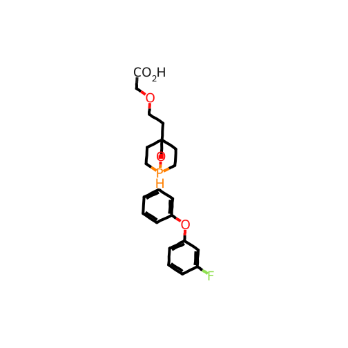 O=C(O)COCCC12CC[PH](c3cccc(Oc4cccc(F)c4)c3)(CC1)OC2